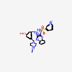 CN1CCN(Cc2ccc(O)cc2Nc2nc3ccccc3nc2NS(=O)(=O)c2cccnc2)CC1